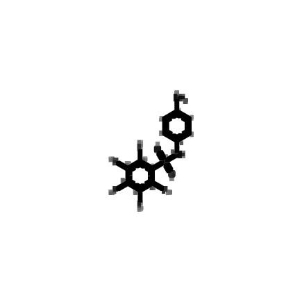 Nc1ccc(NS(=O)(=O)c2c(F)c(F)c(F)c(F)c2F)cc1